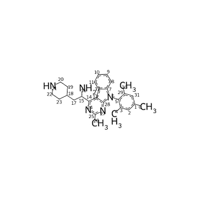 Cc1cc(C)c(-n2c3ccccc3c3c(C(N)CC4CCNCC4)nc(C)nc32)c(C)c1